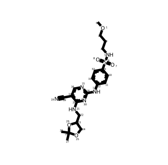 COCCCNS(=O)(=O)c1ccc(Nc2ncc(C#N)c(NCC3COC(C)(C)O3)n2)cc1